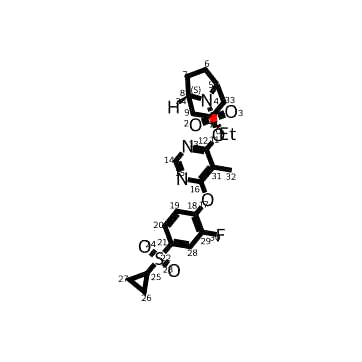 CCS(=O)(=O)N1C2CC[C@H]1CC(Oc1ncnc(Oc3ccc(S(=O)(=O)C4CC4)cc3F)c1C)C2